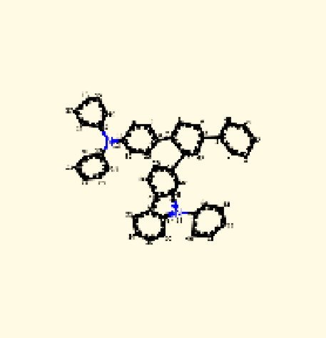 c1ccc(-c2ccc(-c3ccc(N(c4ccccc4)c4ccccc4)cc3)c(-c3ccc4c5ccccc5n(-c5ccccc5)c4c3)c2)cc1